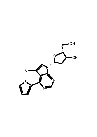 OC[C@H]1O[C@@H](n2cc(Cl)c3c(-c4cccs4)ncnc32)C[C@@H]1O